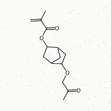 C=C(C)C(=O)OC1CC2CC1CC2OCC(C)=O